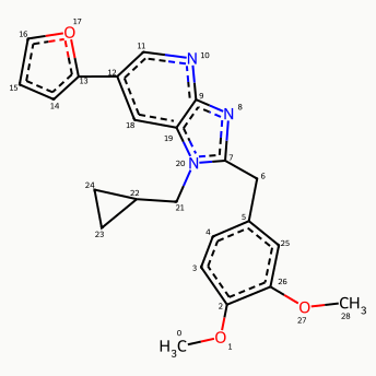 COc1ccc(Cc2nc3ncc(-c4ccco4)cc3n2CC2CC2)cc1OC